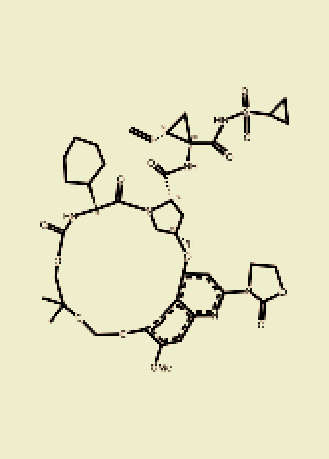 C=C[C@@H]1C[C@]1(NC(=O)[C@@H]1C[C@@H]2CN1C(=O)[C@H](C1CCCCC1)NC(=O)OCC(C)(C)CCCc1cc3c(cc(N4CCOC4=O)nc3cc1OC)O2)C(=O)NS(=O)(=O)C1CC1